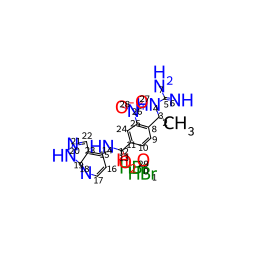 Br.Br.C[C@@H](NC(=N)N)c1ccc(C(=O)Nc2ccnc3[nH]ncc23)cc1[N+](=O)[O-].O